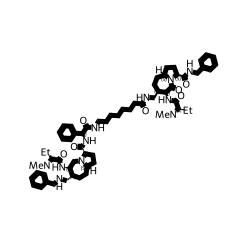 CC[C@H](NC)C(=O)N[C@@H]1C(=O)N2[C@@H](CC[C@@H]1CNC(=O)CCCCCCCNC(=O)[C@@H](NC(=O)[C@@H]1CC[C@@H]3CC[C@H](CNCc4ccccc4)[C@H](NC(=O)[C@H](CC)NC)CN31)c1ccccc1)CC[C@H]2C(=O)NCc1ccccc1